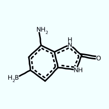 Bc1cc(N)c2[nH]c(=O)[nH]c2c1